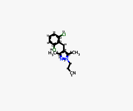 Cc1nn(CCC#N)c(C)c1Cc1c(Cl)cccc1Cl